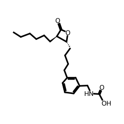 CCCCCC[C@H]1C(=O)O[C@@H]1CCCCc1cccc(CNC(=O)O)c1